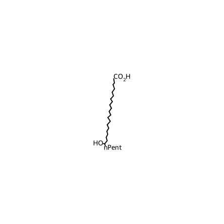 CCCCCC(O)CCCCCCCCCCCCCCCCCCCCC(=O)O